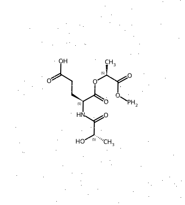 C[C@H](O)C(=O)N[C@@H](CCC(=O)O)C(=O)O[C@@H](C)C(=O)OP